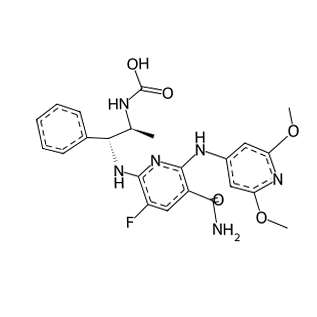 COc1cc(Nc2nc(N[C@H](c3ccccc3)[C@H](C)NC(=O)O)c(F)cc2C(N)=O)cc(OC)n1